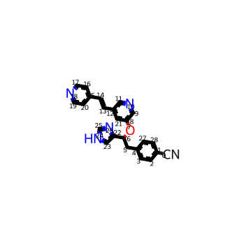 N#Cc1ccc(CC(Oc2cncc(C=Cc3ccncc3)c2)c2c[nH]cn2)cc1